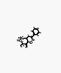 C=C(CC(CCCC)CC(=NO)c1ccccc1)C(C)O